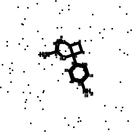 CC(C)(C)C1CCC1(OC(N)=O)c1ccc(N)cc1